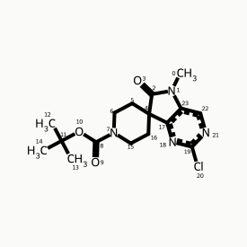 CN1C(=O)C2(CCN(C(=O)OC(C)(C)C)CC2)c2nc(Cl)ncc21